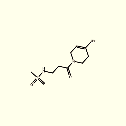 C=S(C)(=O)NCCC(=O)N1CC=C(C(C)C)CC1